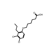 CCCc1c(OCCCCCC(=O)O)ccc(Cl)c1Cl